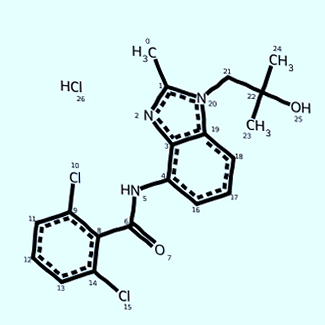 Cc1nc2c(NC(=O)c3c(Cl)cccc3Cl)cccc2n1CC(C)(C)O.Cl